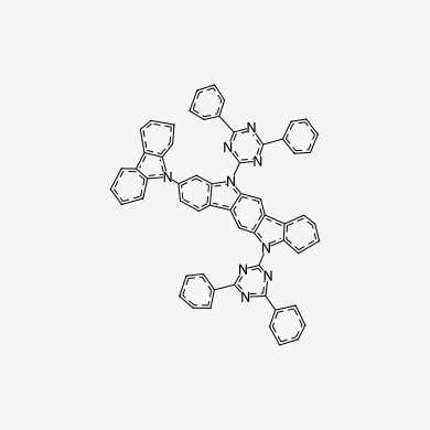 c1ccc(-c2nc(-c3ccccc3)nc(-n3c4ccccc4c4cc5c(cc43)c3ccc(-n4c6ccccc6c6ccccc64)cc3n5-c3nc(-c4ccccc4)nc(-c4ccccc4)n3)n2)cc1